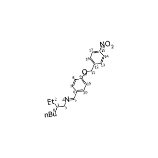 CCCCC(CC)C/N=C/c1ccc(OCc2ccc([N+](=O)[O-])cc2)cc1